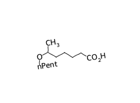 CCCCCOC(C)CCCCC(=O)O